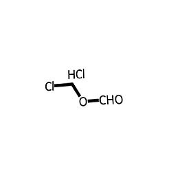 Cl.O=COCCl